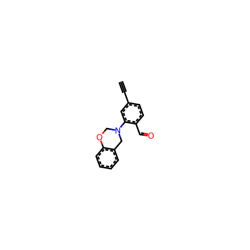 C#Cc1ccc(C=O)c(N2COc3ccccc3C2)c1